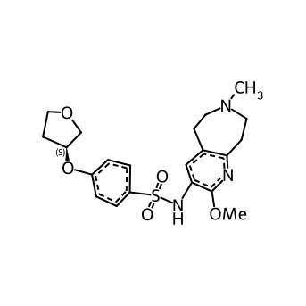 COc1nc2c(cc1NS(=O)(=O)c1ccc(O[C@H]3CCOC3)cc1)CCN(C)CC2